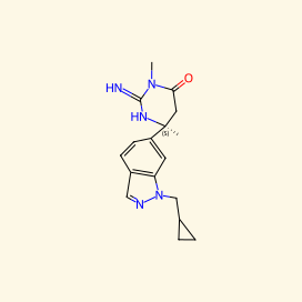 CN1C(=N)N[C@](C)(c2ccc3cnn(CC4CC4)c3c2)CC1=O